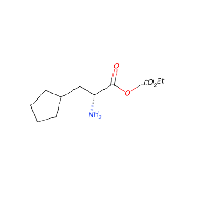 CCOC(=O)OC(=O)[C@H](N)CC1CCCC1